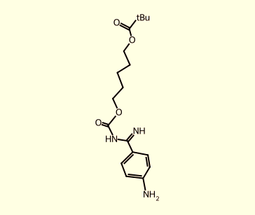 CC(C)(C)C(=O)OCCCCCOC(=O)NC(=N)c1ccc(N)cc1